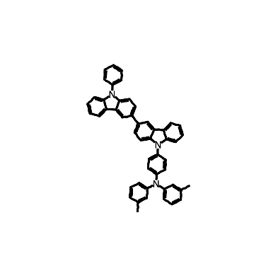 Cc1cccc(N(c2ccc(-n3c4ccccc4c4cc(-c5ccc6c(c5)c5ccccc5n6-c5ccccc5)ccc43)cc2)c2cccc(C)c2)c1